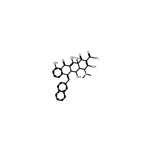 CN(C)C1C(O)=C(C(N)=O)C(=O)C2(O)C(O)=C3C(=O)c4c(O)cccc4/C(=C\c4ccc5ccccc5c4)C3C(O)C12